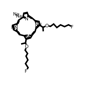 CC(OCCCCCCF)C1=Cc2cc3[nH]c(cc4nc(cc5ccc(cc1n2)[nH]5)C=C4)cc3C(C)OCCCCCCF.[Na].[Na]